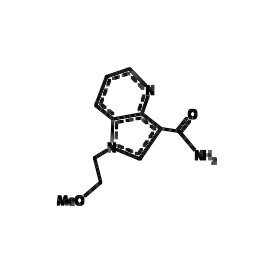 COCCn1cc(C(N)=O)c2ncccc21